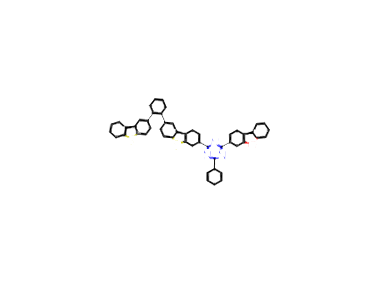 c1ccc(-c2nc(-c3ccc4c(c3)oc3ccccc34)nc(-c3ccc4c(c3)sc3ccc(-c5ccccc5-c5ccc6sc7ccccc7c6c5)cc34)n2)cc1